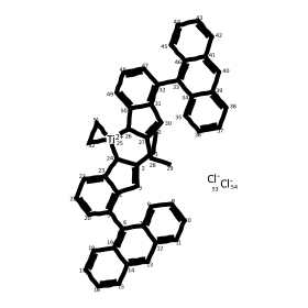 CCC1=Cc2c(-c3c4ccccc4cc4ccccc34)cccc2[CH]1[Ti+2]1([CH]2C(CC)=Cc3c(-c4c5ccccc5cc5ccccc45)cccc32)[CH2][CH2]1.[Cl-].[Cl-]